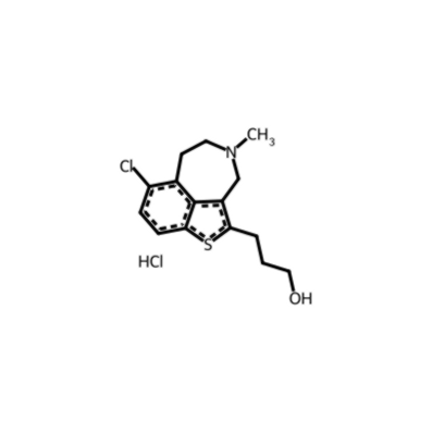 CN1CCc2c(Cl)ccc3sc(CCCO)c(c23)C1.Cl